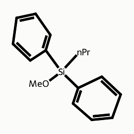 CCC[Si](OC)(c1ccccc1)c1ccccc1